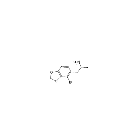 CCc1c(CC(C)N)ccc2c1OCO2